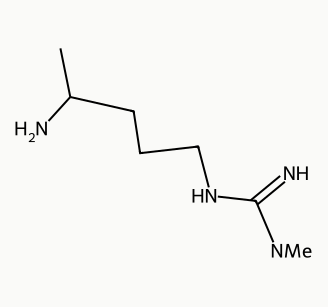 CNC(=N)NCCCC(C)N